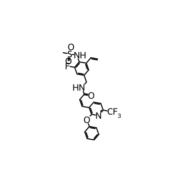 C=Cc1cc(CNC(=O)/C=C\c2ccc(C(F)(F)F)nc2Oc2ccccc2)cc(F)c1NS(C)(=O)=O